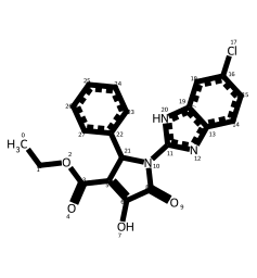 CCOC(=O)C1=C(O)C(=O)N(c2nc3ccc(Cl)cc3[nH]2)C1c1ccccc1